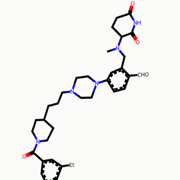 CCc1cccc(C(=O)N2CCC(CCCN3CCN(c4ccc(C=O)c(CN(C)C5CCC(=O)NC5=O)c4)CC3)CC2)c1